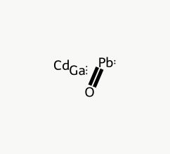 [Cd].[Ga].[O]=[Pb]